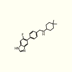 CC1(C)CCC(NCc2ccc(-c3cc4nc[nH]c4cc3F)cc2)CC1